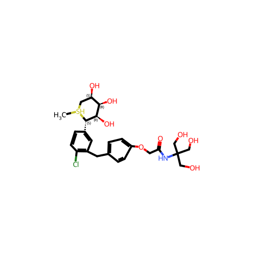 C[SH]1C[C@@H](O)[C@@H](O)[C@@H](O)[C@@H]1c1ccc(Cl)c(Cc2ccc(OCC(=O)NC(CO)(CO)CO)cc2)c1